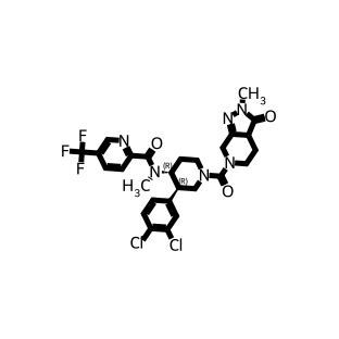 CN1N=C2CN(C(=O)N3CC[C@@H](N(C)C(=O)c4ccc(C(F)(F)F)cn4)[C@H](c4ccc(Cl)c(Cl)c4)C3)CCC2C1=O